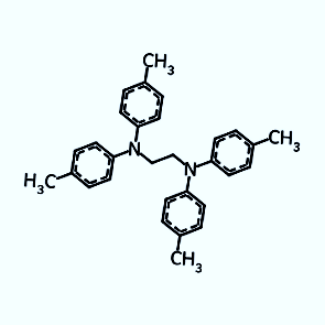 Cc1ccc(N(CCN(c2ccc(C)cc2)c2ccc(C)cc2)c2ccc(C)cc2)cc1